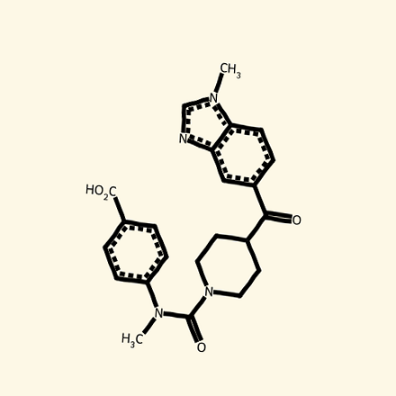 CN(C(=O)N1CCC(C(=O)c2ccc3c(c2)ncn3C)CC1)c1ccc(C(=O)O)cc1